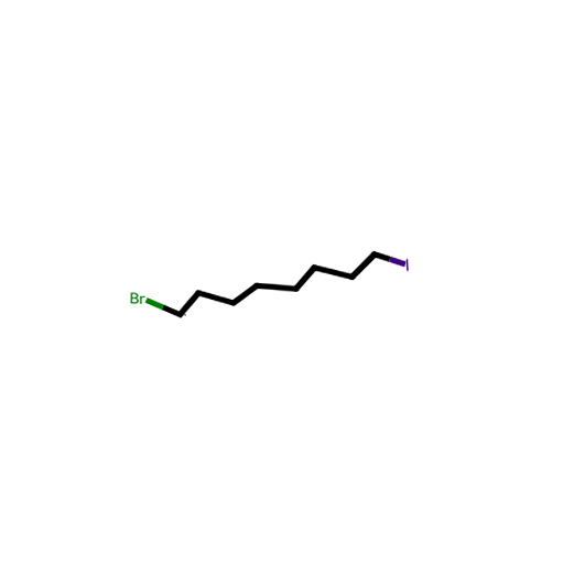 Br[CH]CCCCCCCI